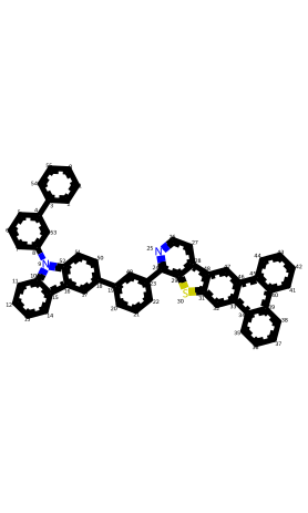 c1ccc(-c2cccc(-n3c4ccccc4c4cc(-c5cccc(-c6nccc7c6sc6cc8c9ccccc9c9ccccc9c8cc67)c5)ccc43)c2)cc1